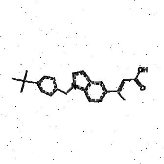 CC(=CC(=O)O)c1ccc2c(ccn2Cc2ccc(C(C)(C)C)cc2)c1